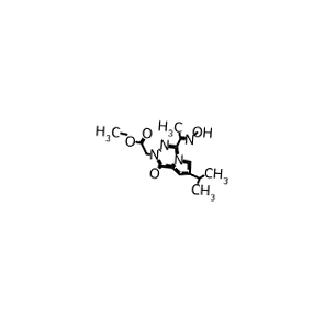 CCOC(=O)Cn1nc(C(C)=NO)n2cc(C(C)C)cc2c1=O